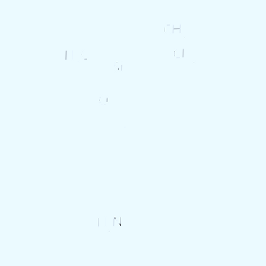 C=C[Si](C)(C=C)Oc1cccc(N)c1